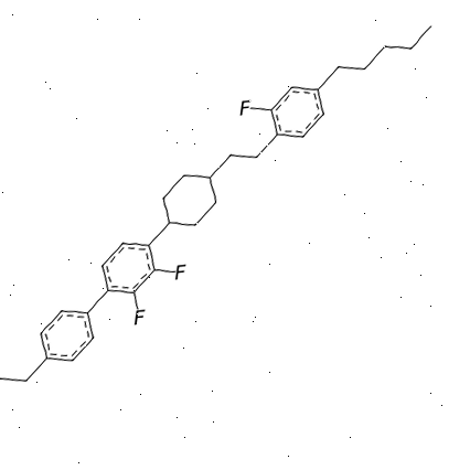 CCCCCc1ccc(CCC2CCC(c3ccc(-c4ccc(CCC)cc4)c(F)c3F)CC2)c(F)c1